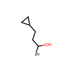 CC(C)C(O)CCC1CC1